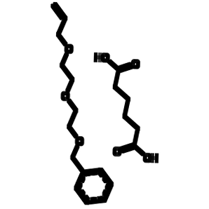 C=CCOCCOCCOCc1ccccc1.O=C(O)CCCCC(=O)O